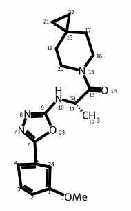 COc1cccc(-c2nnc(N[C@@H](C)C(=O)N3CCC4(CC3)CC4)o2)c1